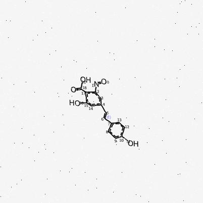 O=Nc1cc(/C=C/c2ccc(O)cc2)cc(O)c1C(=O)O